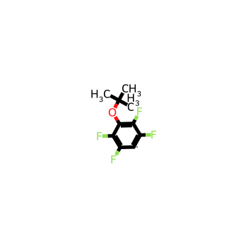 CC(C)(C)Oc1c(F)c(F)[c]c(F)c1F